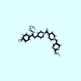 CON=C(CC1CCN(C(=O)C2CCN(Cc3cnc(N)nc3)CC2)CC1)c1ccc(Cl)cc1